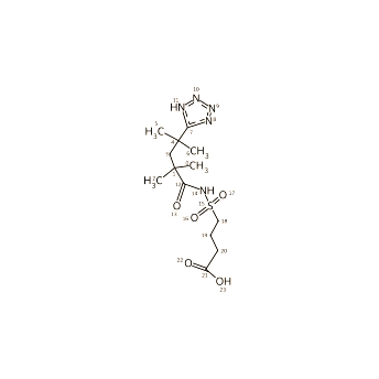 CC(C)(CC(C)(C)c1nnn[nH]1)C(=O)NS(=O)(=O)CCCC(=O)O